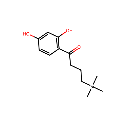 C[Si](C)(C)CCCC(=O)c1ccc(O)cc1O